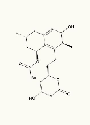 CCC(C)C(=O)O[C@H]1C[C@H](C)CC2=CC(O)[C@@H](C)C(CC[C@@H]3C[C@@H](O)CC(=O)O3)=C21